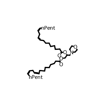 CCCCC/C=C\C/C=C\CCCCCCCC(=O)OCC(CN1CCOCC1)OC(=O)CCCCCCC/C=C\C/C=C\CCCCC